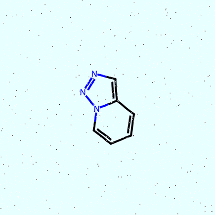 [c]1ccn2nncc2c1